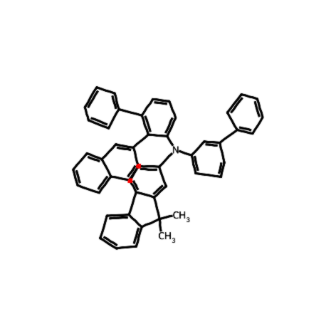 CC1(C)c2ccccc2-c2ccc(N(c3cccc(-c4ccccc4)c3)c3cccc(-c4ccccc4)c3-c3ccc4ccccc4c3)cc21